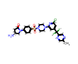 Cc1cnc(C(F)(F)c2cc(Cl)nc(N3CCN(S(=O)(=O)c4ccc(N5C[C@H](N)CC5=O)cc4)CC3)c2)cn1